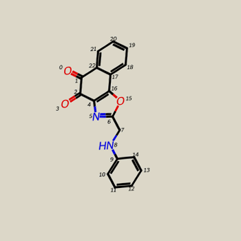 O=C1C(=O)c2nc(CNc3ccccc3)oc2-c2ccccc21